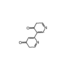 O=C1C=C(C2=[C]N=CCC2=O)N=CC1